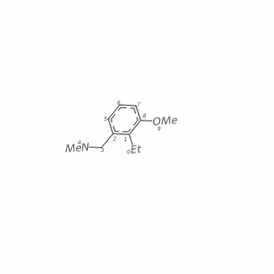 CCc1c(CNC)cccc1OC